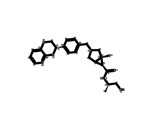 C[C@@H](CO)NC(=O)[C@H]1C2CN(Cc3ccc([C@H]4COc5cccnc5O4)cc3)C[C@@H]21